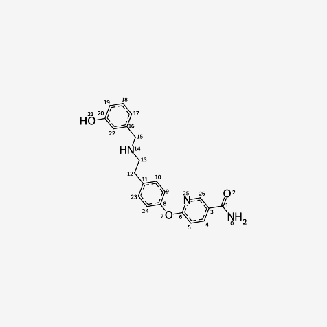 NC(=O)c1ccc(Oc2ccc(CCNCc3cccc(O)c3)cc2)nc1